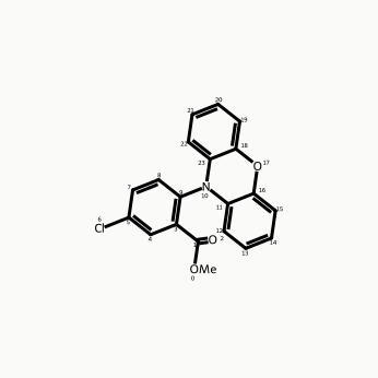 COC(=O)c1cc(Cl)ccc1N1c2ccccc2Oc2ccccc21